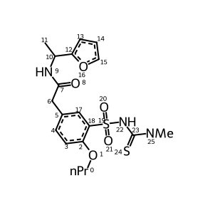 CCCOc1ccc(CC(=O)NC(C)c2ccco2)cc1S(=O)(=O)NC(=S)NC